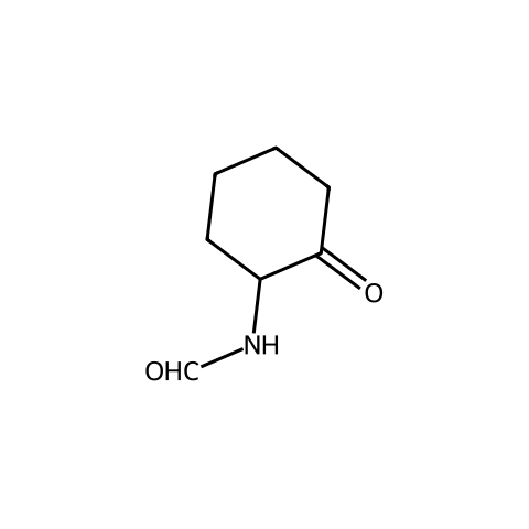 O=CNC1CCCCC1=O